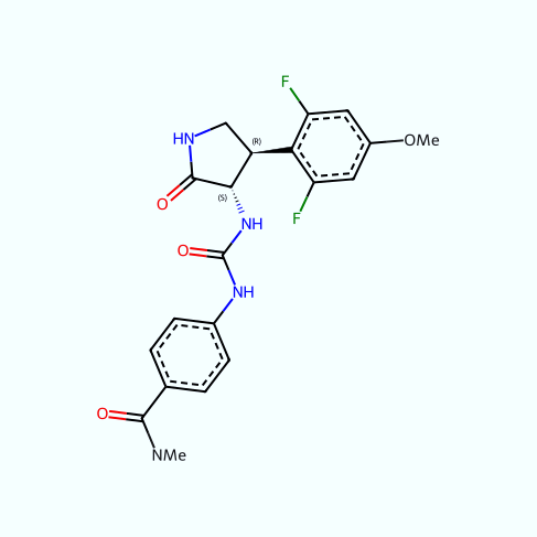 CNC(=O)c1ccc(NC(=O)N[C@@H]2C(=O)NC[C@H]2c2c(F)cc(OC)cc2F)cc1